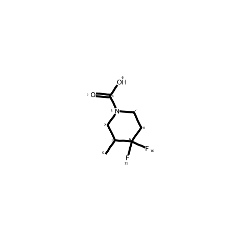 CC1CN(C(=O)O)CCC1(F)F